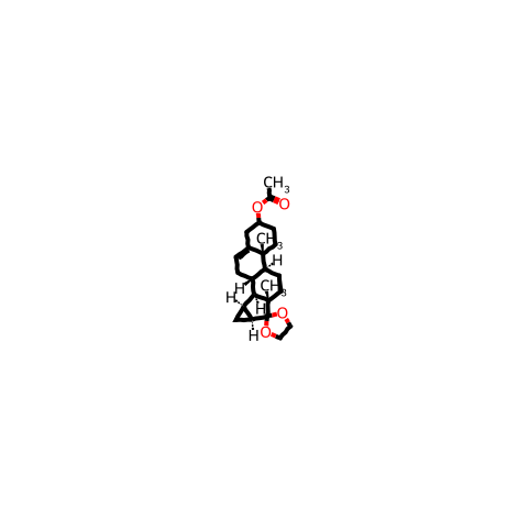 CC(=O)OC1CC[C@@]2(C)C(=CC[C@H]3[C@@H]4[C@@H]5C[C@@H]5C5(OCCO5)[C@@]4(C)CC[C@@H]32)C1